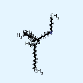 CCCCCCCC/C=C\CCCCCCCC(=O)C(OP(=O)([O-])OCC[N+](C)(C)C)[C@H](CO)OC(=O)CCCCCCCCCCCCC